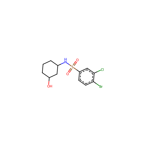 O=S(=O)(NC1CCCC(O)C1)c1ccc(Br)c(Cl)c1